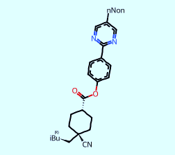 CCCCCCCCCc1cnc(-c2ccc(OC(=O)[C@H]3CC[C@@](C#N)(C[C@H](C)CC)CC3)cc2)nc1